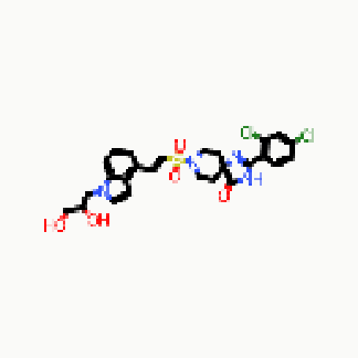 O=C1NC(c2ccc(Cl)cc2Cl)=NC12CCN(S(=O)(=O)C=Cc1cccc3c1ccn3CC(O)CO)CC2